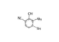 CC(C)(C)c1c(S)ccc(C#N)c1C#N